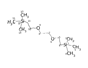 C[Si](C)(C)CCOCCOCC[Si](C)(C)C